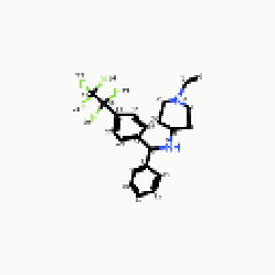 CCN1CCC(NC(c2ccccc2)c2ccc(C(F)(F)C(F)(F)F)cc2)CC1